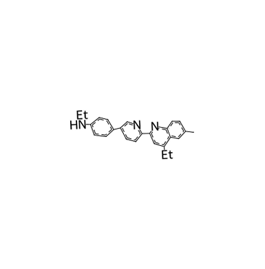 CCNc1ccc(-c2ccc(-c3cc(CC)c4cc(C)ccc4n3)nc2)cc1